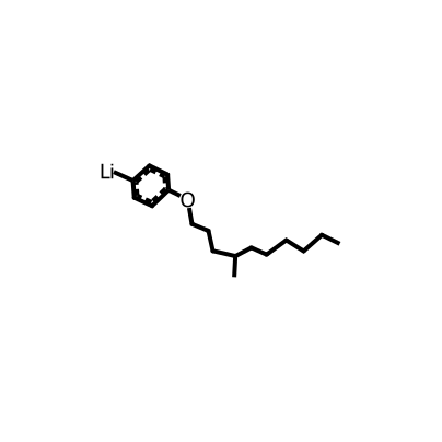 [Li][c]1ccc(OCCCC(C)CCCCCC)cc1